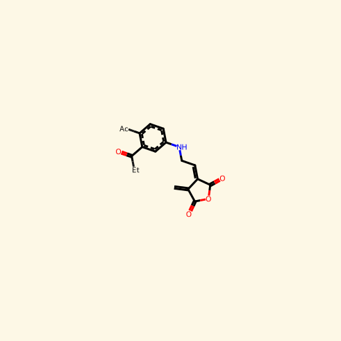 C=C1C(=O)OC(=O)/C1=C/CNc1ccc(C(C)=O)c(C(=O)CC)c1